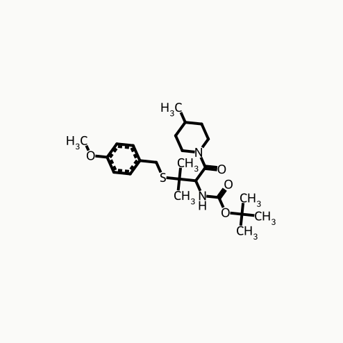 COc1ccc(CSC(C)(C)C(NC(=O)OC(C)(C)C)C(=O)N2CCC(C)CC2)cc1